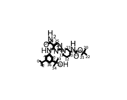 CC(C)c1cc(Nc2nc(N3CCC[C@H](NC(=O)OC(C)(C)C)C3)ncc2C(N)=O)cc(C(C)(C)O)c1